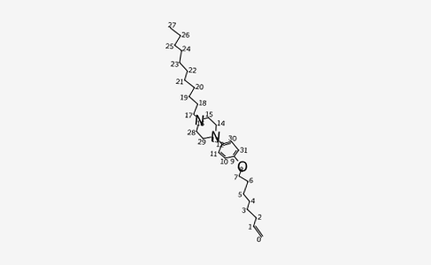 C=CCCCCCCOc1ccc(N2CCN(CCCCCCCCCCC)CC2)cc1